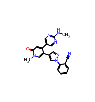 CNc1ncc(-c2cc(=O)n(C)cc2-c2cnn(-c3ccccc3C#N)c2)cn1